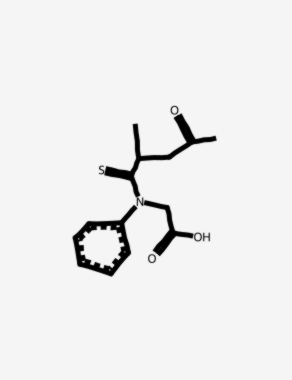 CC(=O)CC(C)C(=S)N(CC(=O)O)c1ccccc1